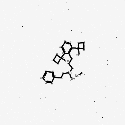 CC#N.CC(C)N(CCCc1c(C2(F)CCC2)cccc1C1(F)CCC1)CCc1ccccc1